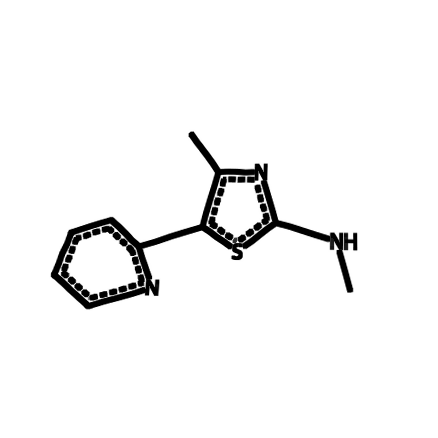 CNc1nc(C)c(-c2ccccn2)s1